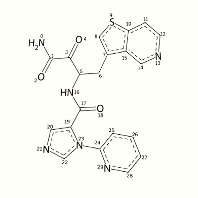 NC(=O)C(=O)C(Cc1csc2ccncc12)NC(=O)c1cncn1-c1ccccn1